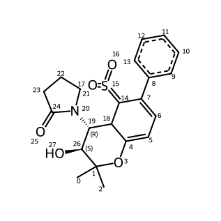 CC1(C)OC2=CC=C(c3ccccc3)C(=S(=O)=O)C2[C@@H](N2CCCC2=O)[C@@H]1O